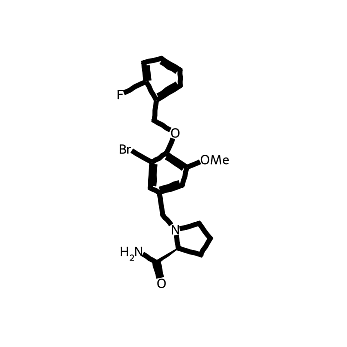 COc1cc(CN2CCC[C@H]2C(N)=O)cc(Br)c1OCc1ccccc1F